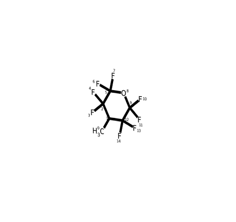 CC1C(F)(F)C(F)(F)OC(F)(F)C1(F)F